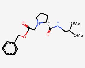 COC(CNC(=O)[C@H]1CCCN1CC(=O)OCc1ccccc1)OC